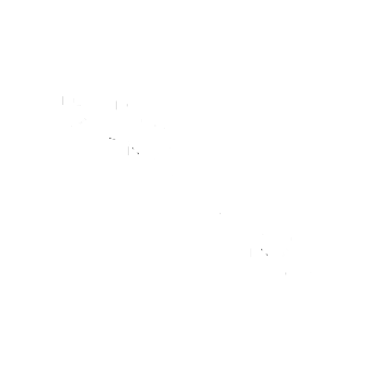 CC(C)(C)OC(=O)NOCCOCCOCC(=O)N[C@@H](CCC(=O)O)C(=O)O